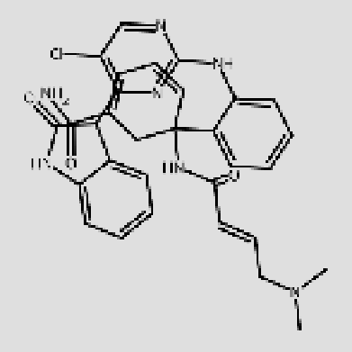 CN(C)CC=CC(=O)NC1(c2ccccc2Nc2ncc(Cl)c(C3C(=O)Nc4ccccc43)n2)C=CC=C(C(N)=O)C1